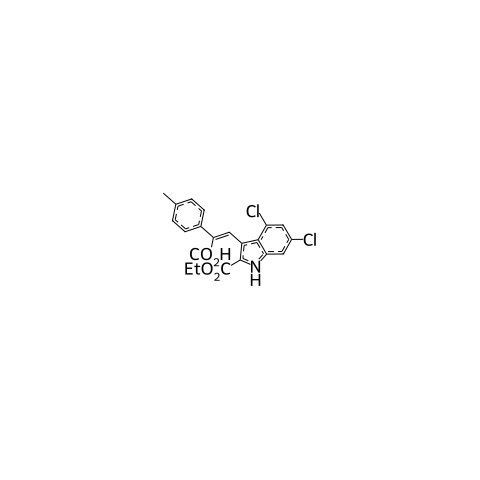 CCOC(=O)c1[nH]c2cc(Cl)cc(Cl)c2c1C=C(C(=O)O)c1ccc(C)cc1